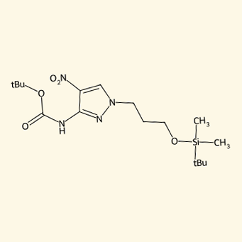 CC(C)(C)OC(=O)Nc1nn(CCCO[Si](C)(C)C(C)(C)C)cc1[N+](=O)[O-]